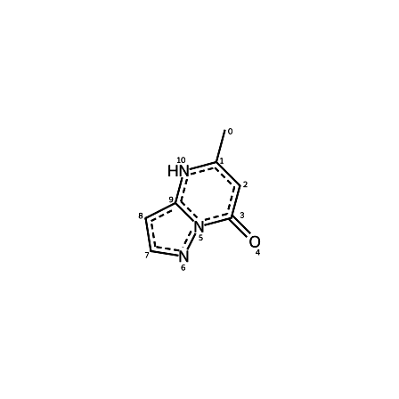 Cc1cc(=O)n2nccc2[nH]1